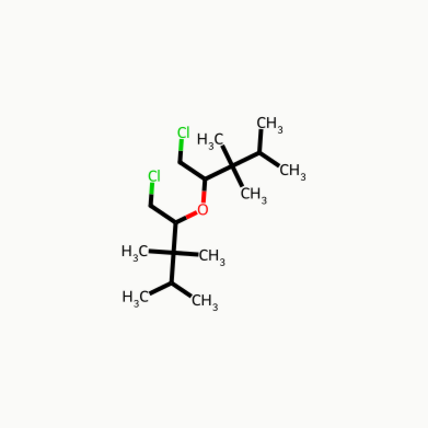 CC(C)C(C)(C)C(CCl)OC(CCl)C(C)(C)C(C)C